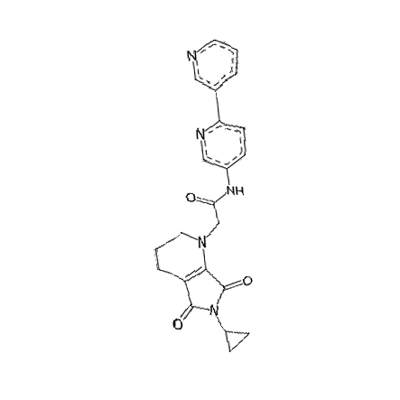 O=C(CN1CCCC2=C1C(=O)N(C1CC1)C2=O)Nc1ccc(-c2cccnc2)nc1